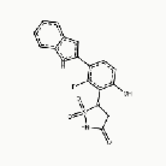 O=C1CN(c2c(O)ccc(-c3cc4ccccc4[nH]3)c2F)S(=O)(=O)N1